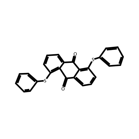 O=C1c2cccc(Sc3ccccc3)c2C(=O)c2cccc(Sc3ccccc3)c21